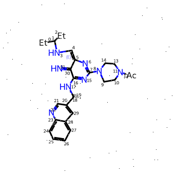 CCC(CC)N/C=C1/N=C(N2CCN(C(C)=O)CC2)N=C(N[C@H](C)c2cnc3ccccc3c2)C1=N